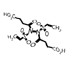 C=CS(=O)(=O)N(C(=O)CCC(=O)O)N(C(=O)CCC(=O)O)S(=O)(=O)C=C